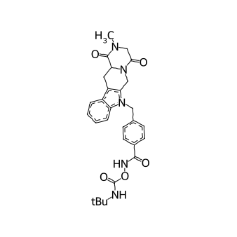 CN1CC(=O)N2Cc3c(c4ccccc4n3Cc3ccc(C(=O)NOC(=O)NC(C)(C)C)cc3)CC2C1=O